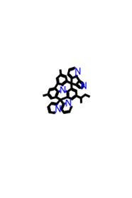 CCC(C)c1cc2c3c(c1)C1(c4ccncc4-c4ncccc41)c1cc(C)cc4c5cc(C)cc(c5n-3c14)C2(c1ccccn1)c1ccccn1